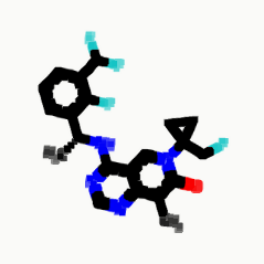 Cc1c(=O)n(C2(CF)CC2)cc2c(N[C@H](C)c3cccc(C(F)F)c3F)ncnc12